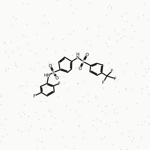 O=S(=O)(Nc1ccc(S(=O)(=O)Nc2cc(F)ccc2F)cc1)c1ccc(C(F)(F)F)cc1